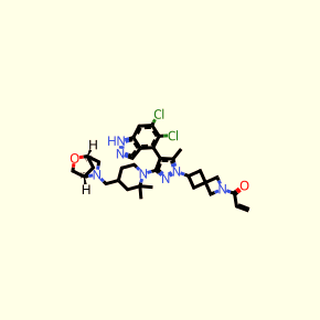 C=CC(=O)N1CC2(CC(n3nc(N4CCC(CN5C[C@@H]6C[C@H]5CO6)CC4(C)C)c(-c4c(Cl)c(Cl)cc5[nH]ncc45)c3C)C2)C1